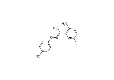 C/C(=N\Oc1ccc(C#N)cc1)c1cc(Cl)ccc1C